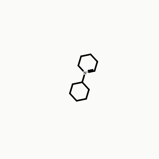 C1=[N+](C2CCCCC2)CCCC1